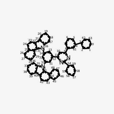 c1ccc(-c2cccc(-c3cc(-c4cc(-n5c6ccccc6c6ccc7ccccc7c65)cc(-n5c6ccccc6c6ccc7ccccc7c65)c4)nc(-c4ccccc4)n3)c2)cc1